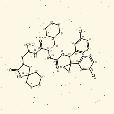 O=CC(CC1CC2(CCCCC2)NC1=O)NC(=O)[C@H](CC1CCCCC1)NC(=O)OC(c1cccc(Cl)c1)C1(c2cccc(Cl)c2)CC1